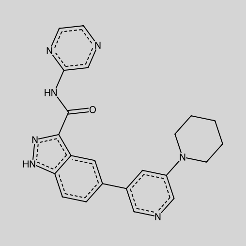 O=C(Nc1cnccn1)c1n[nH]c2ccc(-c3cncc(N4CCCCC4)c3)cc12